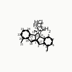 CC1=Cc2c(C)cccc2[CH]1[Zr]([CH3])([CH3])(=[SiH2])[CH]1C(C)=Cc2c(C)cccc21.Cl.Cl